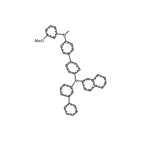 COc1cccc(N(C)c2ccc(-c3ccc(N(c4cccc(-c5ccccc5)c4)c4ccc5ccccc5c4)cc3)cc2)c1